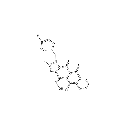 Cc1nc2/c(=N/O)c3c(=O)c4ccccc4c(=O)c=3c(=O)c2n1Cc1ccc(F)cc1